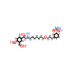 NS(=O)(=O)c1cccc(CCCOCCCCCCCNC[C@@H](O)c2ccc(O)c(CO)c2)c1